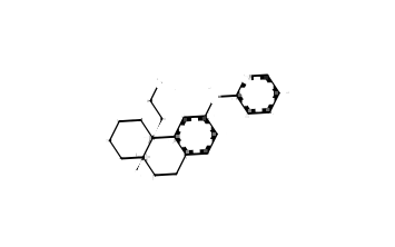 NCC[C@]12CCCC[C@@]1(O)CCc1ccc(Oc3ccccn3)cc12